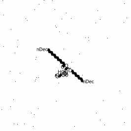 CCCCCCCCCCCCCCCCCCCCCC(=O)O[C@H](COCCCCCCCCCCCCCCCCCC)COP(=O)(O)OCC[N+](C)(C)C